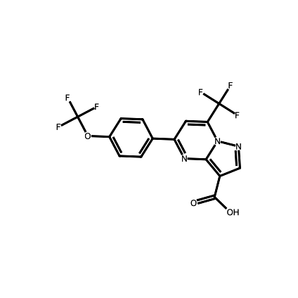 O=C(O)c1cnn2c(C(F)(F)F)cc(-c3ccc(OC(F)(F)F)cc3)nc12